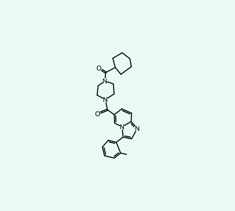 Cc1ccccc1-c1cnc2ccc(C(=O)N3CCN(C(=O)C4CCCCC4)CC3)cn12